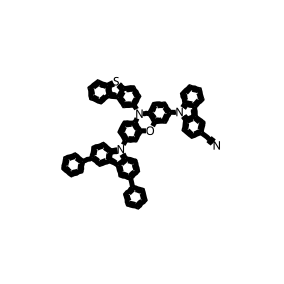 N#Cc1ccc2c(c1)c1ccccc1n2-c1ccc2c(c1)Oc1cc(-n3c4ccc(-c5ccccc5)cc4c4cc(-c5ccccc5)ccc43)ccc1N2c1ccc2sc3ccccc3c2c1